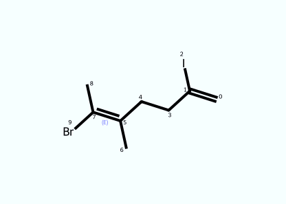 C=C(I)CC/C(C)=C(\C)Br